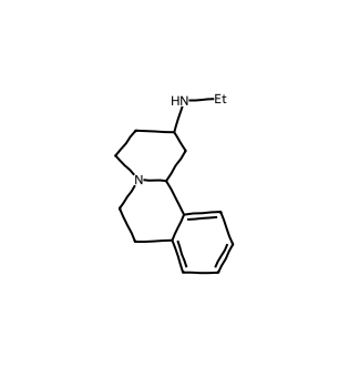 CCNC1CCN2CCc3ccccc3C2C1